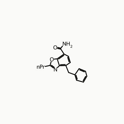 CCCc1nc2c(Cc3ccccc3)ccc(C(N)=O)c2o1